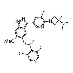 COc1cc2[nH]nc(-c3cnc(N4CC(C)(N(C)C)C4)c(F)c3)c2cc1OC(C)c1c(Cl)cncc1Cl